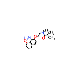 C=C(C)C(=O)N(C)CCOc1ccc2c(c1N)C(=O)CCC2